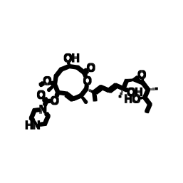 CC[C@H](O)[C@@H](C)[C@H]1O[C@@H]1C[C@@](C)(O)/C=C/C=C(\C)[C@H]1OC(=O)C[C@H](O)CC[C@@](C)(OC)C(OC(=O)N2CCNCC2)/C=C/[C@@H]1C